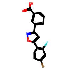 O=C(O)c1cccc(-c2cc(-c3ccc(Br)cc3F)on2)c1